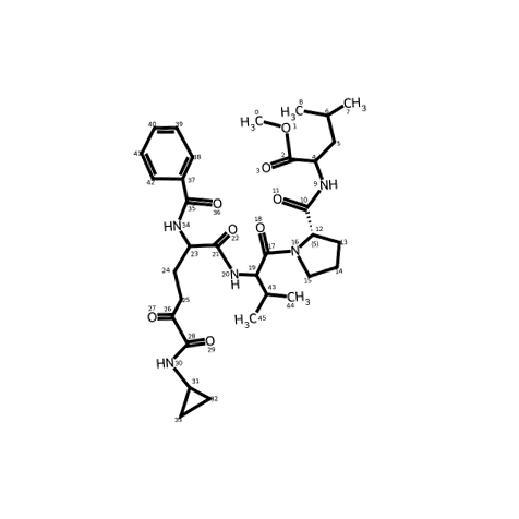 COC(=O)C(CC(C)C)NC(=O)[C@@H]1CCCN1C(=O)C(NC(=O)C(CCC(=O)C(=O)NC1CC1)NC(=O)c1ccccc1)C(C)C